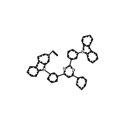 C=Cc1ccc2c3ccccc3n(-c3cccc(-c4cc(-c5ccccc5)nc(-c5cccc(-n6c7ccccc7c7ccccc76)c5)n4)c3)c2c1